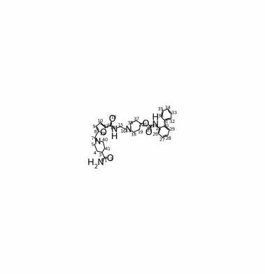 NC(=O)C1CCN(Cc2ccc(C(=O)NCCN3CCC(OC(=O)Nc4ccccc4-c4ccccc4)CC3)o2)CC1